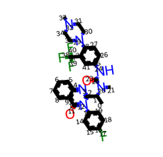 CC(c1nc2ccccc2c(=O)n1-c1ccc(F)cc1)N(C)C(=O)Nc1ccc(N2CCN(C)CC2)c(C(F)(F)F)c1